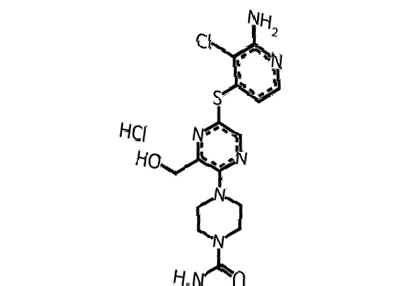 Cl.NC(=O)N1CCN(c2ncc(Sc3ccnc(N)c3Cl)nc2CO)CC1